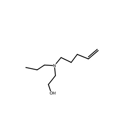 C=CCCCN(CCC)CCO